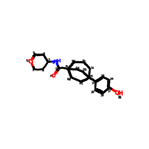 O=C(NC1CCOCC1)C12CCCC(c3ccc(O)cc3)(CC1)CC2